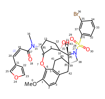 COc1ccc2c3c1OC1C[C@@](O)(CC[C@H]1N(C)C(=O)/C=C\c1ccoc1)[C@@H]1N(S(=O)(=O)c4cccc(Br)c4)C[C@@]1(CC3)C2